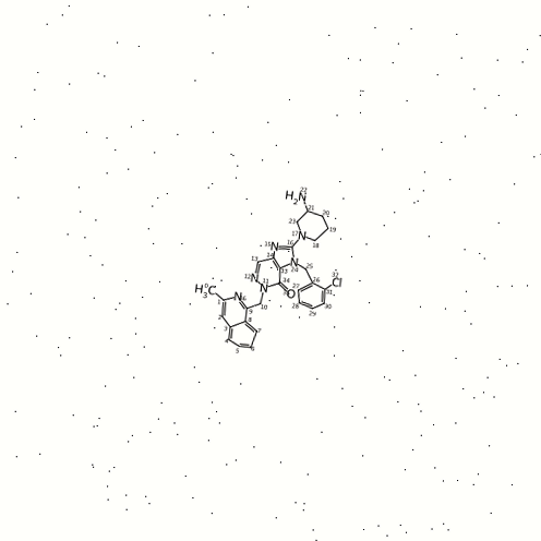 Cc1cc2ccccc2c(Cn2ncc3nc(N4CCCC(N)C4)n(Cc4ccccc4Cl)c3c2=O)n1